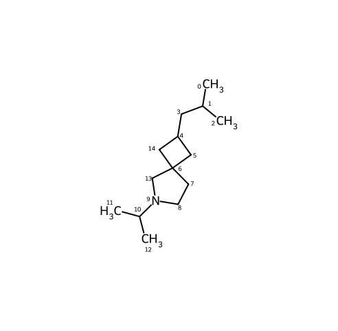 CC(C)CC1CC2(CCN(C(C)C)C2)C1